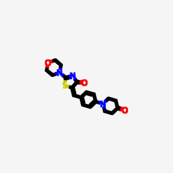 O=C1CCN(c2ccc(C=C3SC(N4CCOCC4)=NC3=O)cc2)CC1